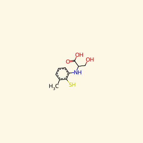 Cc1cccc(NC(CO)C(=O)O)c1S